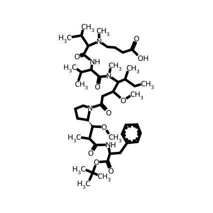 CCC(C)C(C(CC(=O)N1CCC[C@H]1C(OC)C(C)C(=O)NC(Cc1ccccc1)C(=O)OC(C)(C)C)OC)N(C)C(=O)C(NC(=O)C(C(C)C)N(C)CCCC(=O)O)C(C)C